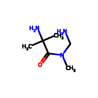 CN(CN)C(=O)C(C)(C)N